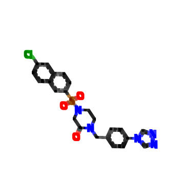 O=C1CN(S(=O)(=O)c2ccc3cc(Cl)ccc3c2)CCN1Cc1ccc(-n2cnnc2)cc1